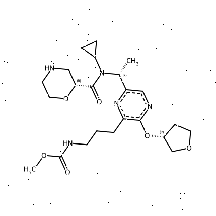 COC(=O)NCCCc1nc([C@@H](C)N(C(=O)[C@H]2CNCCO2)C2CC2)cnc1O[C@@H]1CCOC1